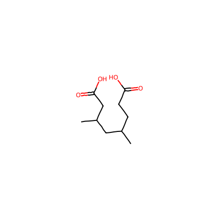 CC(CCC(=O)O)CC(C)CC(=O)O